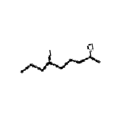 CCCC(I)CCCC(C)Cl